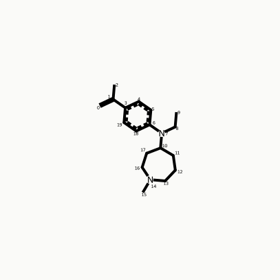 C=C(C)c1ccc(N(CC)C2CCCN(C)CC2)cc1